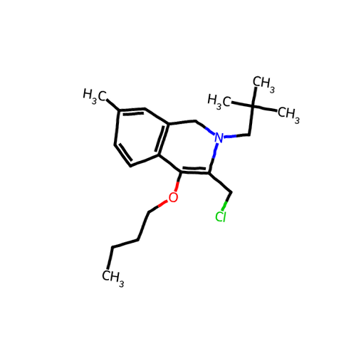 CCCCOC1=C(CCl)N(CC(C)(C)C)Cc2cc(C)ccc21